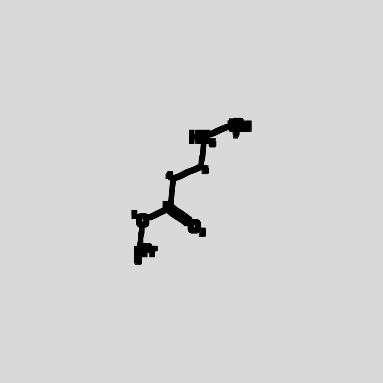 CCCOC(=O)CCNC(C)(C)C